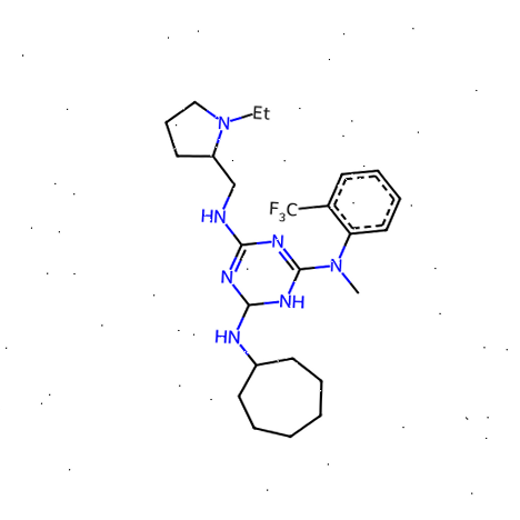 CCN1CCCC1CNC1=NC(NC2CCCCCC2)NC(N(C)c2ccccc2C(F)(F)F)=N1